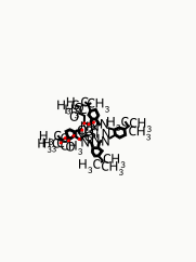 COC(=O)CCC(=O)O[Si]1(OC(=O)CCC(=O)OC)n2c3c4cc(C(C)(C)C)ccc4c2/N=C2N=C(/N=c4/c5cc(C(C)(C)C)ccc5/c(n41)=N/C1=NC(=N\3)/c3ccc(C(C)(C)C)cc31)c1ccc(C(C)(C)C)cc1\2